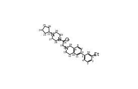 CCc1cccc(-c2ccc3c(c2)CCN(CC(=O)N2CCN(C4CCCC4)CC2)C3)c1